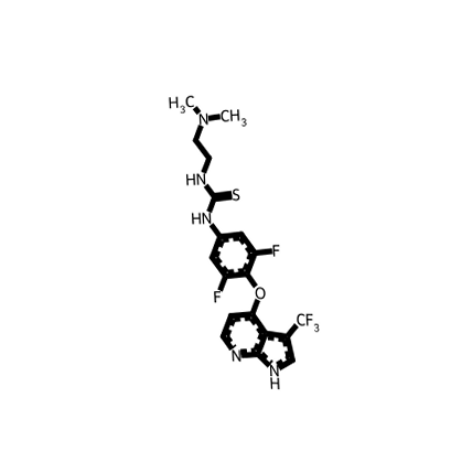 CN(C)CCNC(=S)Nc1cc(F)c(Oc2ccnc3[nH]cc(C(F)(F)F)c23)c(F)c1